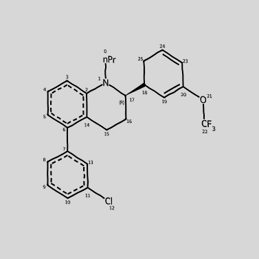 CCCN1c2cccc(-c3cccc(Cl)c3)c2CC[C@@H]1C1C=C(OC(F)(F)F)C=CC1